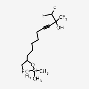 C[Si](C)(C)OC(CF)CCCCCC#CC(O)(C(F)F)C(F)(F)F